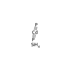 [P]#[Cd]#[P].[SiH4]